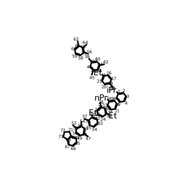 CC(C)c1ccccc1.CCCc1ccccc1.CCc1ccc(C)cc1.CCc1cccc(C)c1.CCc1ccccc1C.Cc1cc(C)cc(C)c1.Cc1ccc(C)c(C)c1.Cc1cccc(C)c1C.c1ccc2c(c1)CCC2